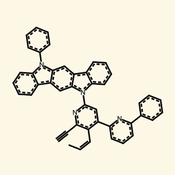 C#Cc1nc(-n2c3ccccc3c3cc4c(cc32)c2ccccc2n4-c2ccccc2)cc(-c2cccc(-c3ccccc3)n2)c1/C=C\C